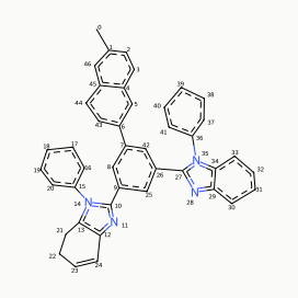 Cc1ccc2cc(-c3cc(-c4nc5c(n4-c4ccccc4)CCC=C5)cc(-c4nc5ccccc5n4-c4ccccc4)c3)ccc2c1